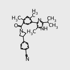 Cc1cc(C)c(-c2nc(C(C)C)[nH]c2C)cc1C(=O)N1CC(c2ccc(C#N)cc2)C1